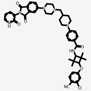 CC1(C)C(NC(=O)c2ccc(N3CCC(CN4CCN(c5ccc6c(c5)C(=O)N(c5ccc[nH]c5=O)C6=O)CC4)CC3)cc2)C(C)(C)C1Oc1ccc(C#N)c(Cl)c1